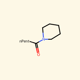 CC[CH]CCC(=O)N1CCCCC1